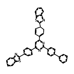 C1=CC(c2nc3ccccc3s2)CC=C1c1cc(-c2ccc(-c3nc4ccccc4s3)cc2)nc(-c2ccc(-c3ccccc3)cc2)n1